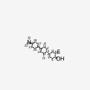 Cc1cc(-c2ccc(O)c(F)c2)c(C)cc1-c1ccc(N(C)C)cc1